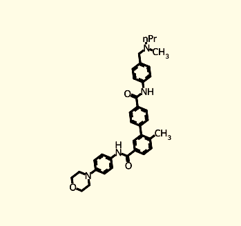 CCCN(C)Cc1ccc(NC(=O)c2ccc(-c3cc(C(=O)Nc4ccc(N5CCOCC5)cc4)ccc3C)cc2)cc1